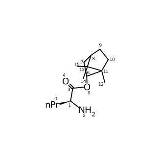 CCC[C@H](N)C(=O)OC1CC2CCC1(C)C2(C)C